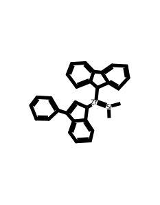 C[Si](C)=[Zr]([CH]1C=C(c2ccccc2)c2ccccc21)[CH]1c2ccccc2-c2ccccc21